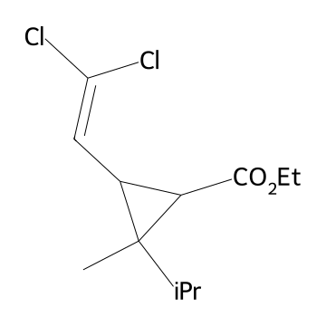 CCOC(=O)C1C(C=C(Cl)Cl)C1(C)C(C)C